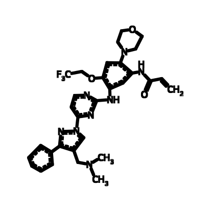 C=CC(=O)Nc1cc(Nc2nccc(-n3cc(CN(C)C)c(-c4ccccc4)n3)n2)c(OCC(F)(F)F)cc1N1CCOCC1